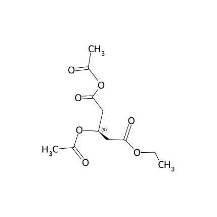 CCOC(=O)C[C@H](CC(=O)OC(C)=O)OC(C)=O